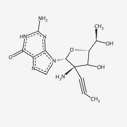 CC#C[C@@]1(N)C(O)[C@@H]([C@@H](C)O)O[C@H]1n1cnc2c(=O)[nH]c(N)nc21